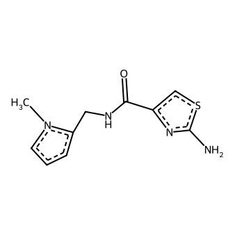 Cn1cccc1CNC(=O)c1csc(N)n1